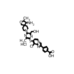 Cc1nc(N2CCC3(CC2)CO[C@@H](C)[C@H]3N)c(CO)nc1Sc1ccn2cc(-c3ccc(C(=O)O)cc3)nc2c1Cl.Cl